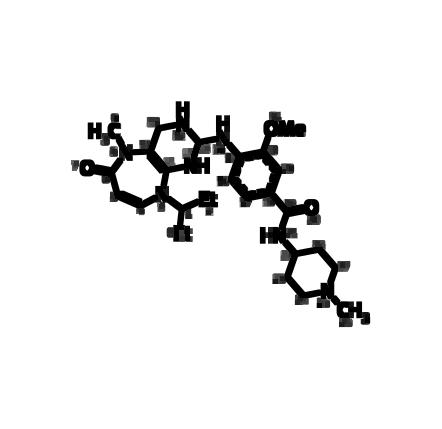 CCC(CC)N1C=CC(=O)N(C)C2=C1NC(Nc1ccc(C(=O)NC3CCN(C)CC3)cc1OC)NC2